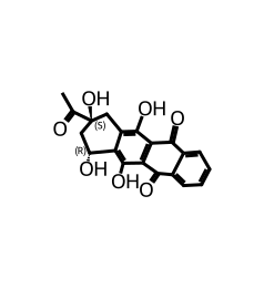 CC(=O)[C@]1(O)Cc2c(O)c3c(c(O)c2[C@H](O)C1)C(=O)c1ccccc1C3=O